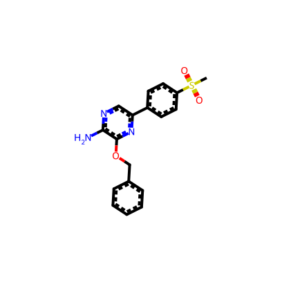 CS(=O)(=O)c1ccc(-c2cnc(N)c(OCc3ccccc3)n2)cc1